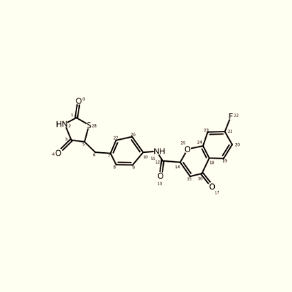 O=C1NC(=O)C(Cc2ccc(NC(=O)c3cc(=O)c4ccc(F)cc4o3)cc2)S1